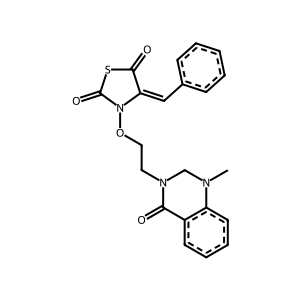 CN1CN(CCON2C(=O)SC(=O)C2=Cc2ccccc2)C(=O)c2ccccc21